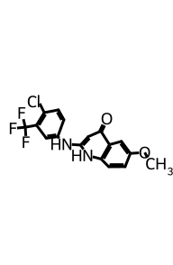 COc1ccc2[nH]c(Nc3ccc(Cl)c(C(F)(F)F)c3)cc(=O)c2c1